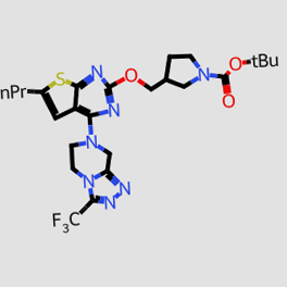 CCCc1cc2c(N3CCn4c(nnc4C(F)(F)F)C3)nc(OCC3CCN(C(=O)OC(C)(C)C)C3)nc2s1